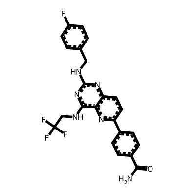 NC(=O)c1ccc(-c2ccc3nc(NCc4ccc(F)cc4)nc(NCC(F)(F)F)c3n2)cc1